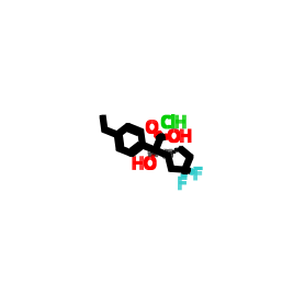 CCc1ccc([C@@](O)(C(=O)O)[C@@H]2CCC(F)(F)C2)cc1.Cl